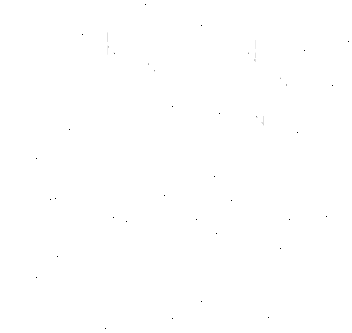 O=C(O)c1c(C(F)(F)F)sc(-c2c[nH]nn2)c1-c1cc[nH]n1